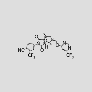 C[C@]12O[C@@](C)(C[C@H]1COc1cc(C(F)(F)F)ncn1)C1C(=O)N(c3ccc(C#N)c(C(F)(F)F)c3)C(=O)[C@H]12